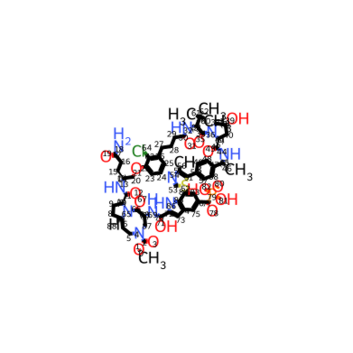 COC(=O)N1CC[C@H]2CC[C@@H](C(=O)N[C@@H](CCC(N)=O)COc3cccc(CCCC(=O)N[C@H](C(=O)N4C[C@H](O)C[C@H]4C(=O)N[C@@H](C)c4ccc(-c5scnc5C)cc4)C(C)(C)C)c3Cl)N2C(=O)[C@@H](NC(O)c2cc3cc(C(=O)P(=O)(O)O)ccc3[nH]2)C1